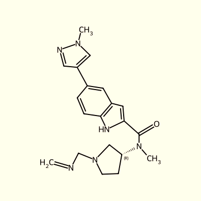 C=NCN1CC[C@@H](N(C)C(=O)c2cc3cc(-c4cnn(C)c4)ccc3[nH]2)C1